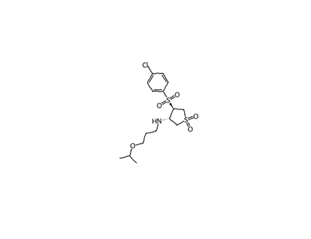 CC(C)OCCCN[C@H]1CS(=O)(=O)C[C@@H]1S(=O)(=O)c1ccc(Cl)cc1